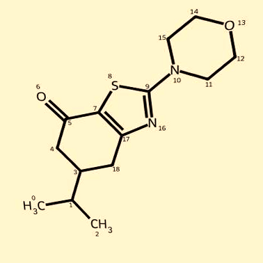 CC(C)C1CC(=O)c2sc(N3CCOCC3)nc2C1